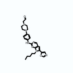 CCCCCn1c(-c2cnco2)cc2cnc(Nc3ccc(N4CCN(CC=O)CC4)cc3)nc21